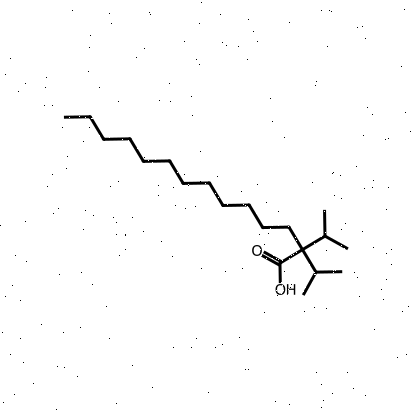 CCCCCCCCCCCCC(C(=O)O)(C(C)C)C(C)C